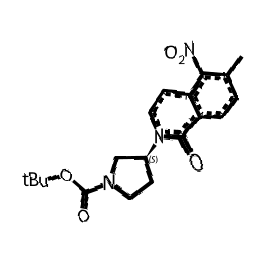 Cc1ccc2c(=O)n([C@H]3CCN(C(=O)OC(C)(C)C)C3)ccc2c1[N+](=O)[O-]